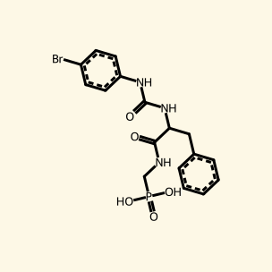 O=C(Nc1ccc(Br)cc1)NC(Cc1ccccc1)C(=O)NCP(=O)(O)O